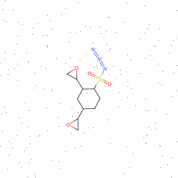 [N-]=[N+]=NS(=O)(=O)C1CCC(C2CO2)CC1C1CO1